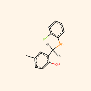 CCC(CC)(Pc1ccccc1F)c1cc(C)ccc1O